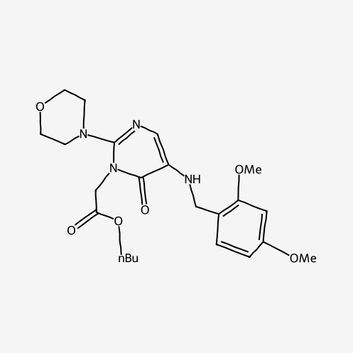 CCCCOC(=O)Cn1c(N2CCOCC2)ncc(NCc2ccc(OC)cc2OC)c1=O